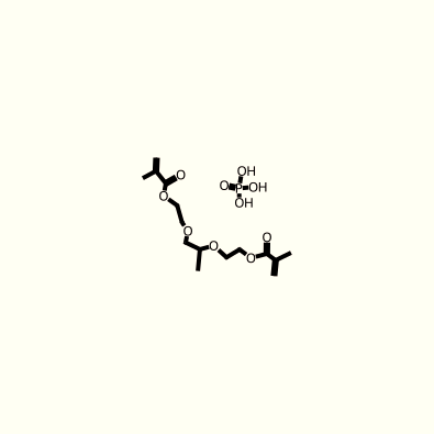 C=C(C)C(=O)OCCOCC(C)OCCOC(=O)C(=C)C.O=P(O)(O)O